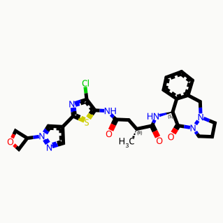 C[C@H](CC(=O)Nc1sc(-c2cnn(C3COC3)c2)nc1Cl)C(=O)N[C@@H]1C(=O)N2CCCN2Cc2ccccc21